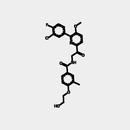 COc1ccc(C(=O)CNC(=O)c2ccc(OCCO)c(C)c2)nc1-c1ccc(F)c(Cl)c1